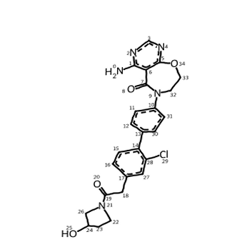 Nc1ncnc2c1C(=O)N(c1ccc(-c3ccc(CC(=O)N4CCC(O)C4)cc3Cl)cc1)CCO2